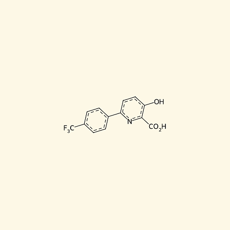 O=C(O)c1nc(-c2ccc(C(F)(F)F)cc2)ccc1O